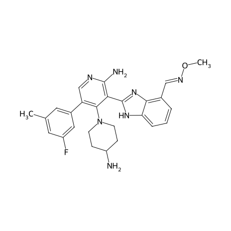 CON=Cc1cccc2[nH]c(-c3c(N)ncc(-c4cc(C)cc(F)c4)c3N3CCC(N)CC3)nc12